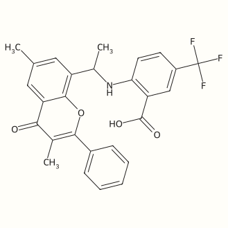 Cc1cc(C(C)Nc2ccc(C(F)(F)F)cc2C(=O)O)c2oc(-c3ccccc3)c(C)c(=O)c2c1